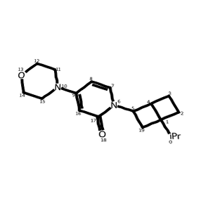 CC(C)C12CCC1C(n1ccc(N3CCOCC3)cc1=O)C2